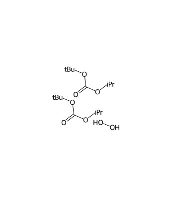 CC(C)OC(=O)OC(C)(C)C.CC(C)OC(=O)OC(C)(C)C.OO